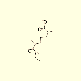 CCOC(=O)C(C)CCCC(C)C(=O)OC